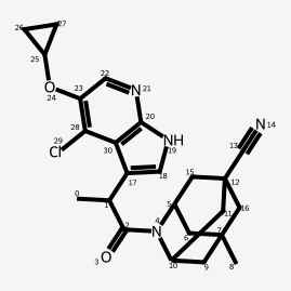 CC(C(=O)N1C2CC3(C)CC1CC(C#N)(C2)C3)c1c[nH]c2ncc(OC3CC3)c(Cl)c12